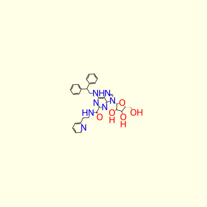 O=C(NCCc1ccccn1)c1nc(NCC(c2ccccc2)c2ccccc2)c2ncn([C@@H]3O[C@H](CO)[C@@H](O)[C@H]3O)c2n1